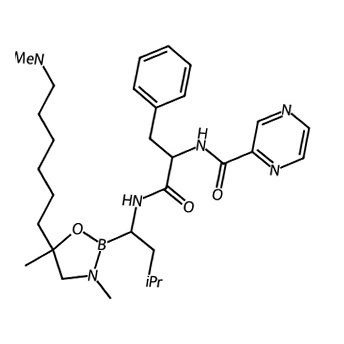 CNCCCCCCC1(C)CN(C)B(C(CC(C)C)NC(=O)C(Cc2ccccc2)NC(=O)c2cnccn2)O1